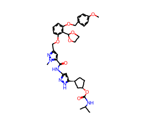 COc1ccc(COc2cccc(OCc3cc(C(=O)Nc4cc([C@H]5CC[C@@H](OC(=O)NC(C)C)C5)[nH]n4)n(C)n3)c2C2OCCO2)cc1